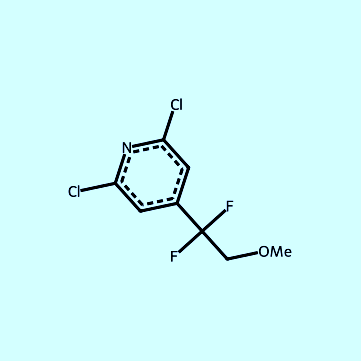 COCC(F)(F)c1cc(Cl)nc(Cl)c1